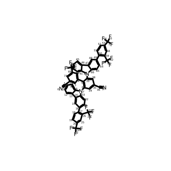 N#Cc1cc(-c2c(-n3c4ccccc4c4cc(-c5ccc(C(F)(F)F)cc5C(F)(F)F)ccc43)cc(C#N)cc2-n2c3ccccc3c3cc(-c4ccc(C(F)(F)F)cc4C(F)(F)F)ccc32)cc(C(F)(F)F)c1